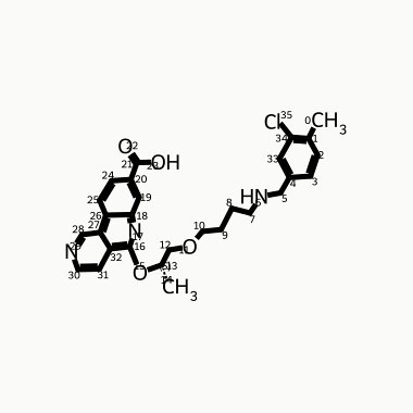 Cc1ccc(CNCCCCOC[C@H](C)Oc2nc3cc(C(=O)O)ccc3c3cnccc23)cc1Cl